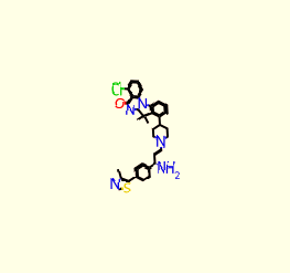 Cc1ncsc1-c1ccc([C@@H](N)CCN2CCC(c3cccc4c3C(C)(C)c3nc(=O)c5c(Cl)cccc5n3-4)CC2)cc1